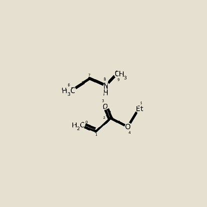 C=CC(=O)OCC.CCNC